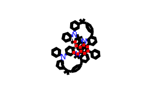 CC1B2c3ccc4cc3N(c3cc(-c5ccccc5)cc(c32)N2c3c(-c5ccc(C(C)(C)C)cc5)cccc3-c3ccc(cc3)C(C)(C)c3cccc(c3)N(c3ccccc3)[C@@H]1C2C)c1c(-c2ccc(C(C)(C)C)cc2)cccc1-c1ccc(cc1)C(C)(C)c1cccc(c1)N4c1ccccc1